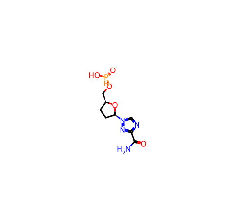 NC(=O)c1ncn([C@H]2CC[C@@H](CO[PH](=O)O)O2)n1